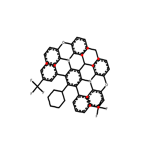 FC(F)(F)c1cccc(-c2c(C3CCCCC3)c(-c3cccc(C(F)(F)F)c3)c(N3c4ccccc4Oc4ccccc43)c(C3CCCCC3)c2N2c3ccccc3Oc3ccccc32)c1